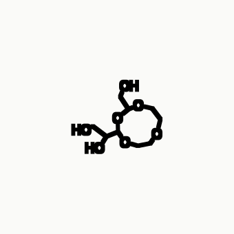 OCC1OCCOCCOC(C(O)CO)O1